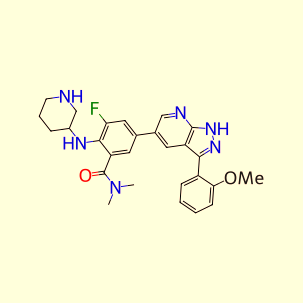 COc1ccccc1-c1n[nH]c2ncc(-c3cc(F)c(NC4CCCNC4)c(C(=O)N(C)C)c3)cc12